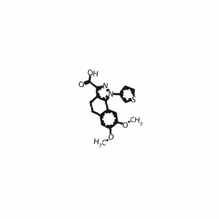 COc1cc2c(cc1OC)-c1c(c(C(=O)O)nn1-c1ccsc1)CC2